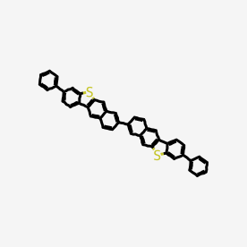 c1ccc(-c2ccc3c(c2)sc2cc4cc(-c5ccc6cc7c(cc6c5)sc5cc(-c6ccccc6)ccc57)ccc4cc23)cc1